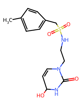 Cc1ccc(CS(=O)(=O)NCCN2C=CC(O)NC2=O)cc1